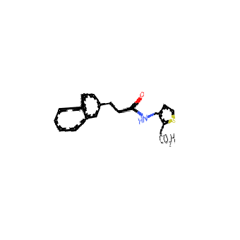 O=C(CCc1ccc2ccccc2c1)Nc1ccsc1C(=O)O